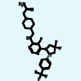 NC(=O)CN1CCC(CNc2ncnc(N3CC(F)(F)C[C@@H]3c3ccc(C(F)(F)F)cc3)c2F)CC1